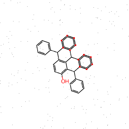 Oc1ccc(C(c2ccccc2)c2ccccc2)c(C(c2ccccc2)c2ccccc2)c1C(c1ccccc1)c1ccccc1